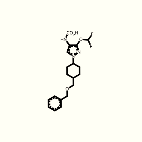 O=C(O)Nc1cn(C2CCC(COCc3ccccc3)CC2)nc1OC(F)F